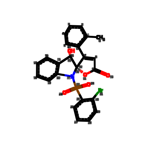 Cc1ccccc1C1=CC(=O)O[C@]12[C@@H](O)c1ccccc1N2S(=O)(=O)c1ccccc1Br